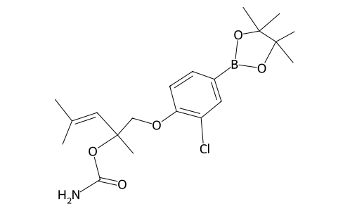 CC(C)=CC(C)(COc1ccc(B2OC(C)(C)C(C)(C)O2)cc1Cl)OC(N)=O